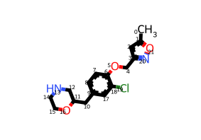 Cc1cc(COc2ccc(CC3CNCCO3)cc2Cl)no1